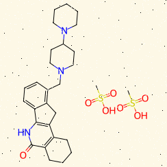 CS(=O)(=O)O.CS(=O)(=O)O.O=c1[nH]c2c(c3c1CCCC3)Cc1c(CN3CCC(N4CCCCC4)CC3)cccc1-2